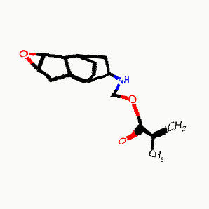 C=C(C)C(=O)OCNC1CC2CC1C1CC3OC3C21